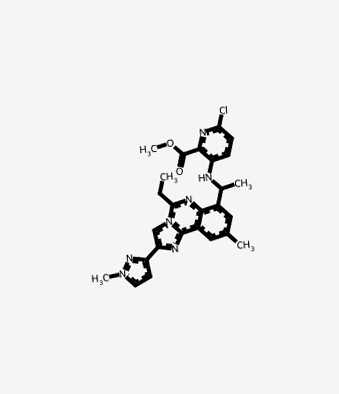 CCc1nc2c(C(C)Nc3ccc(Cl)nc3C(=O)OC)cc(C)cc2c2nc(-c3ccn(C)n3)cn12